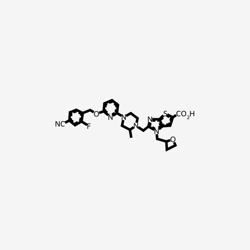 CC1CN(c2cccc(OCc3ccc(C#N)cc3F)n2)CCN1Cc1nc2sc(C(=O)O)cc2n1CC1CCO1